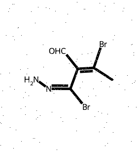 C/C(Br)=C(C=O)\C(Br)=N/N